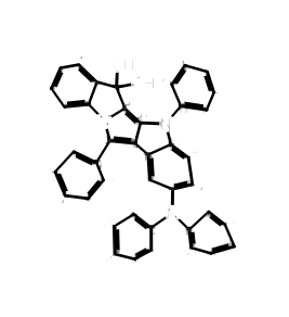 CC1(C)c2ccccc2-n2c(-c3ccccc3)c3c4cc(N(c5ccccc5)c5ccccc5)ccc4n(-c4ccccc4)c3c21